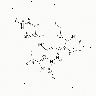 CCOc1ncccc1-c1cc(NCC(=N)/C=N\NC)c2c(C(C)C)nc(C)n2n1